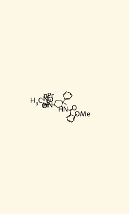 CCCN(C)S(=O)(=O)N[C@H]1CC[C@](CNC(=O)c2ccccc2OC)(c2ccccc2)CC1